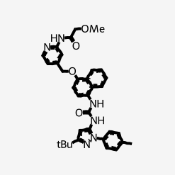 COCC(=O)Nc1cc(COc2ccc(NC(=O)Nc3cc(C(C)(C)C)nn3-c3ccc(C)cc3)c3ccccc23)ccn1